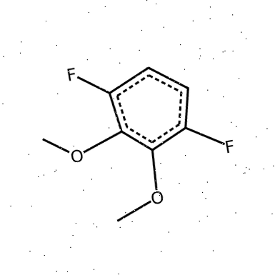 COc1c(F)ccc(F)c1OC